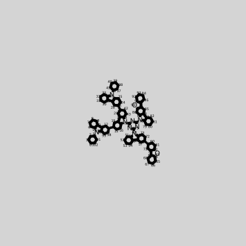 c1ccc(-n2c3ccccc3c3cc(-c4ccc5c(c4)c4cc(-c6ccc7c(c6)c6ccccc6n7-c6ccccc6)ccc4n5-c4nc(-n5c6ccccc6c6cc(-c7ccc8oc9ccccc9c8c7)ccc65)nc(-n5c6ccccc6c6cc7c(cc65)oc5ccccc57)n4)ccc32)cc1